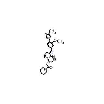 COc1cc(/C=C2\CCCN3C2=NOC[C@@H]3CC(=O)N2CCCCC2)ccc1-n1cnc(C)c1